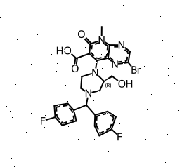 Cn1c(=O)c(C(=O)O)c(N2CCN(C(c3ccc(F)cc3)c3ccc(F)cc3)C[C@@H]2CO)c2nc(Br)cnc21